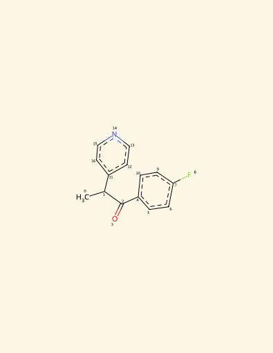 CC(C(=O)c1ccc(F)cc1)c1ccncc1